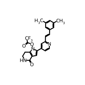 Cc1cc(C)cc(C=Cc2cc(-c3cc4c(n3OC(=O)C(F)(F)F)CCNC4=O)ccn2)c1